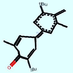 C=c1c(C)c/c(=C2/C=C(C)C(=O)C(C(C)(C)C)=C2)cc1C(C)(C)C